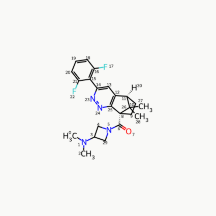 CN(C)C1CN(C(=O)[C@]23CC[C@H](c4cc(-c5c(F)cccc5F)nnc42)C3(C)C)C1